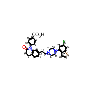 O=C(O)c1ccc(N2C(=O)CCc3ccc(CCN4CCN(c5cc(F)cc6sccc56)CC4)cc32)cc1